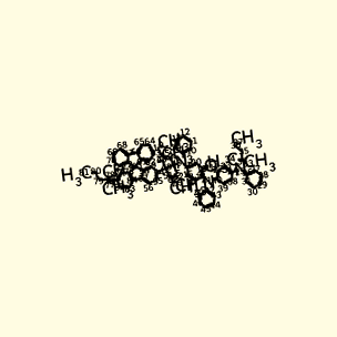 CCCCC(CCC)(N(c1ccccc1)c1ccc2c(c1)Oc1cc(N(c3ccccc3)C(C)(C)CCC)ccc1N2c1ccccc1)C(CC)(CCC)c1ccc2c(c1)C1(c3ccccc3-c3ccccc31)c1cc(C(C)(C)CCC)ccc1-2